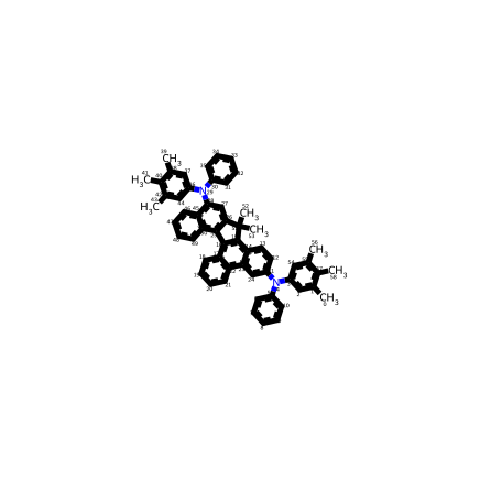 Cc1cc(N(c2ccccc2)c2ccc3c4c(c5ccccc5c3c2)-c2c(cc(N(c3ccccc3)c3cc(C)c(C)c(C)c3)c3ccccc23)C4(C)C)cc(C)c1C